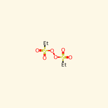 CCS(=O)(=O)OOS(=O)(=O)CC